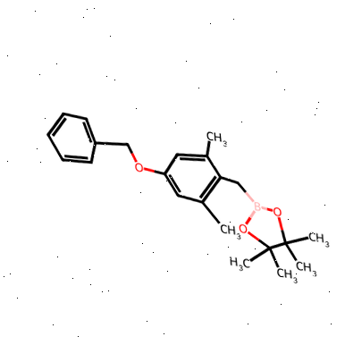 Cc1cc(OCc2ccccc2)cc(C)c1CB1OC(C)(C)C(C)(C)O1